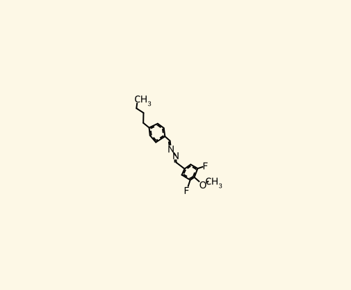 CCCCc1ccc(C=NN=Cc2cc(F)c(OC)c(F)c2)cc1